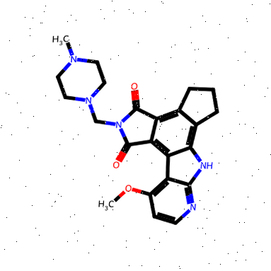 COc1ccnc2[nH]c3c4c(c5c(c3c12)C(=O)N(CN1CCN(C)CC1)C5=O)CCC4